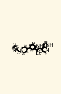 CCc1c(-c2ccnc3[nH]ncc23)[nH]c2ccc(C3CCN(Cc4nccs4)CC3)cc12